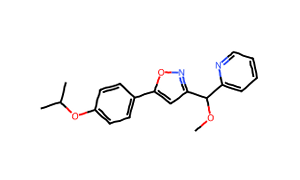 COC(c1ccccn1)c1cc(-c2ccc(OC(C)C)cc2)on1